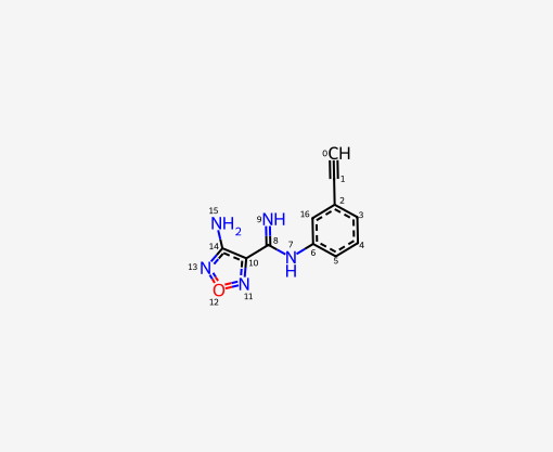 C#Cc1cccc(NC(=N)c2nonc2N)c1